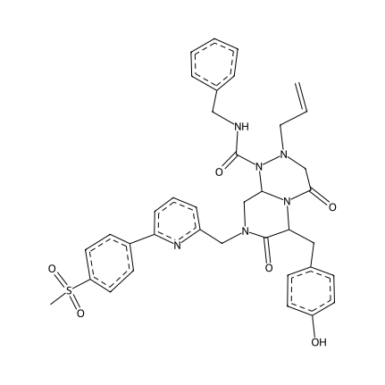 C=CCN1CC(=O)N2C(Cc3ccc(O)cc3)C(=O)N(Cc3cccc(-c4ccc(S(C)(=O)=O)cc4)n3)CC2N1C(=O)NCc1ccccc1